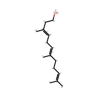 CC(C)=CCC/C(C)=C/C/C=C(\C)CCO